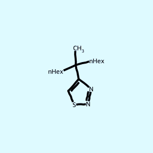 CCCCCCC(C)(CCCCCC)c1csnn1